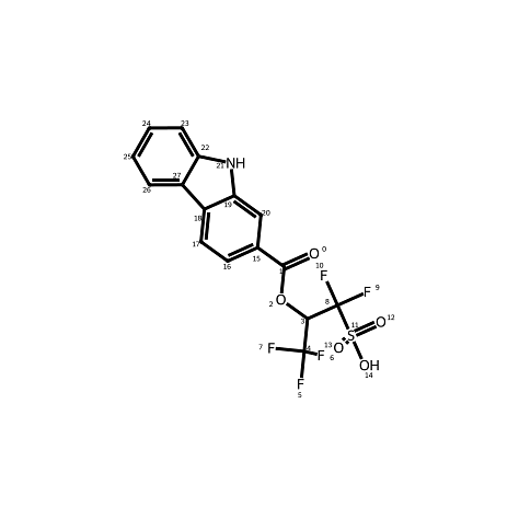 O=C(OC(C(F)(F)F)C(F)(F)S(=O)(=O)O)c1ccc2c(c1)[nH]c1ccccc12